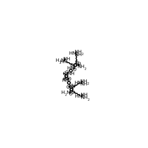 COc1cc(OC)c(C(=O)N[C@H]2CC[C@@H](NC(=O)c3cc(C(N)=O)c(OCCCCCNC(=N)N)cc3OCCCCCNC(=N)N)CC2)cc1C(=O)N[C@H]1CC[C@@H](NC(=O)c2cc(C(N)=O)c(OCCCCCNC(=N)N)cc2OCCCCCNC(=N)N)CC1